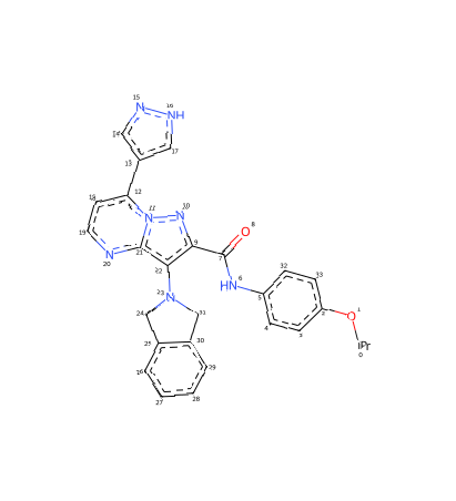 CC(C)Oc1ccc(NC(=O)c2nn3c(-c4cn[nH]c4)ccnc3c2N2Cc3ccccc3C2)cc1